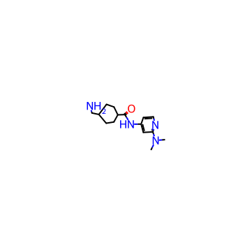 CN(C)c1cc(NC(=O)C2CCC(CN)CC2)ccn1